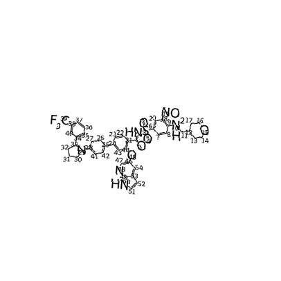 O=C(NS(=O)(=O)c1ccc(NCC2CCOCC2)c([N+](=O)[O-])c1)c1ccc(-c2ccc(N3CCCC3c3cccc(C(F)(F)F)c3)cc2)cc1Oc1cnc2[nH]ccc2c1